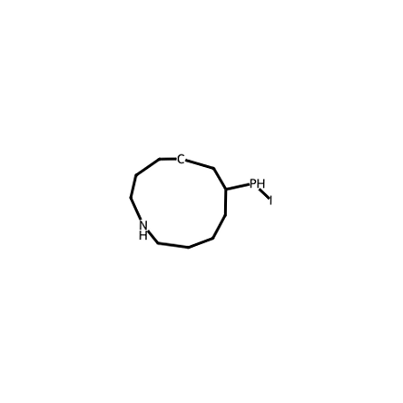 IPC1CCCCCNCCCC1